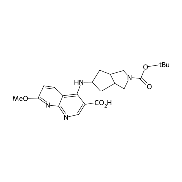 COc1ccc2c(NC3CC4CN(C(=O)OC(C)(C)C)CC4C3)c(C(=O)O)cnc2n1